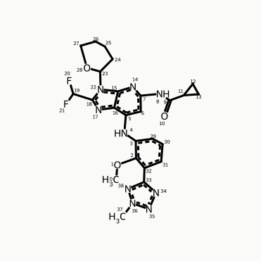 COc1c(Nc2cc(NC(=O)C3CC3)nc3c2nc(C(F)F)n3C2CCCCO2)cccc1-c1nnn(C)n1